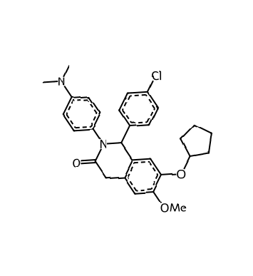 COc1cc2c(cc1OC1CCCC1)C(c1ccc(Cl)cc1)N(c1ccc(N(C)C)cc1)C(=O)C2